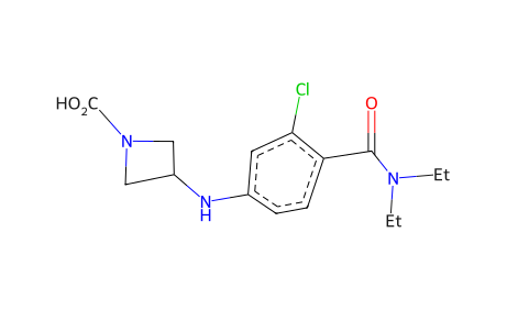 CCN(CC)C(=O)c1ccc(NC2CN(C(=O)O)C2)cc1Cl